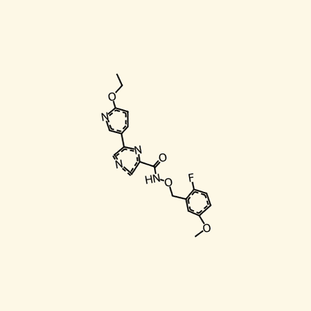 CCOc1ccc(-c2cncc(C(=O)NOCc3cc(OC)ccc3F)n2)cn1